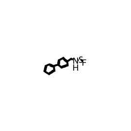 FSNCc1ccc(-c2ccccc2)cc1